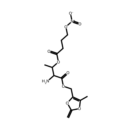 C=C1OC(C)=C(COC(=O)C(N)C(C)OC(=O)CCCO[N+](=O)[O-])O1